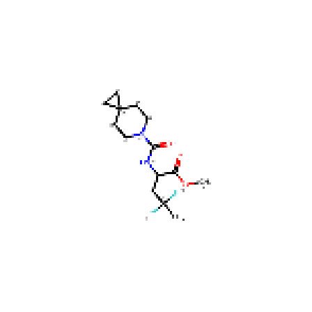 COC(=O)C(CC(C)(F)F)NC(=O)N1CCC2(CC1)CC2